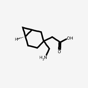 NCC1(CC(=O)O)CC[C@H]2CC2C1